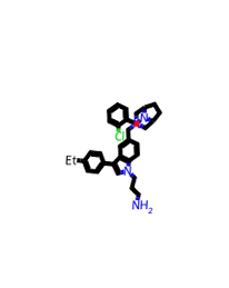 CCc1ccc(-c2cn(CCCN)c3ccc(CN4CC5CCC(C4)N5Cc4ccccc4Cl)cc23)cc1